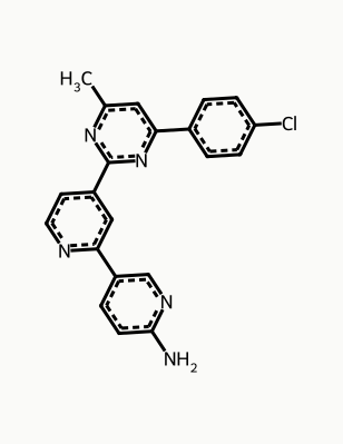 Cc1cc(-c2ccc(Cl)cc2)nc(-c2ccnc(-c3ccc(N)nc3)c2)n1